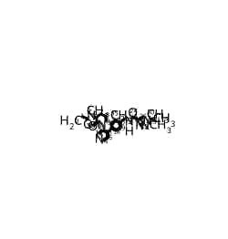 C=CC(=O)N(C)C1CCCN(c2cnccc2-c2ccc(CNC(=O)c3cn(C(C)(C)C)nn3)c(C)c2)C1=O